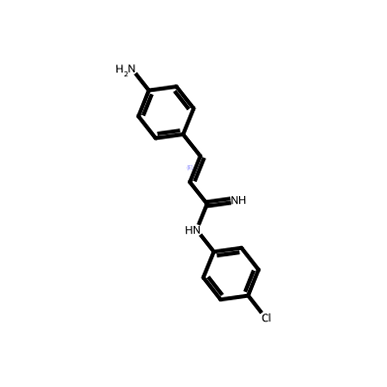 N=C(/C=C/c1ccc(N)cc1)Nc1ccc(Cl)cc1